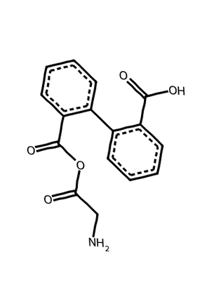 NCC(=O)OC(=O)c1ccccc1-c1ccccc1C(=O)O